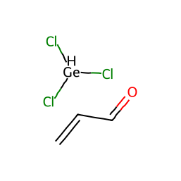 C=CC=O.[Cl][GeH]([Cl])[Cl]